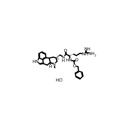 CN1C[C@H](CNC(=O)[C@H](CCCNC(=N)N)NC(=O)OCc2ccccc2)CC2c3cccc4[nH]cc(c34)C[C@H]21.Cl